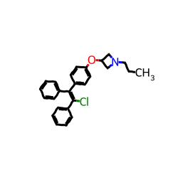 CCCN1CC(Oc2ccc(C(=C(Cl)c3ccccc3)c3ccccc3)cc2)C1